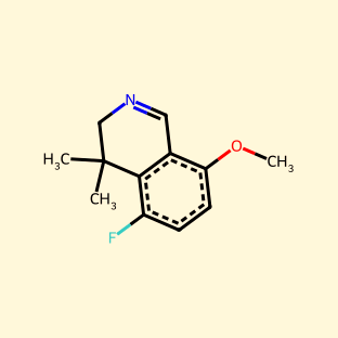 COc1ccc(F)c2c1C=NCC2(C)C